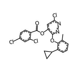 Cc1cccc(C2CC2)c1Oc1nnc(Cl)cc1OC(=O)c1ccc(Cl)cc1Cl